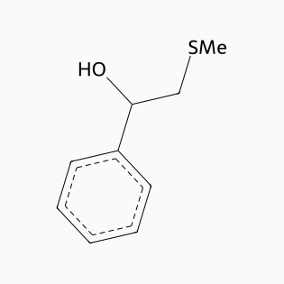 CSCC(O)c1ccccc1